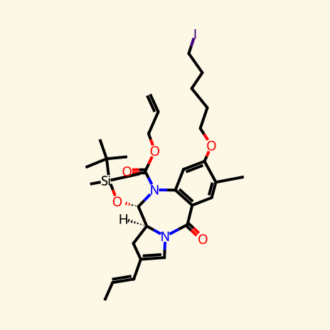 C=CCOC(=O)N1c2cc(OCCCCCI)c(C)cc2C(=O)N2C=C(/C=C/C)C[C@H]2[C@@H]1O[Si](C)(C)C(C)(C)C